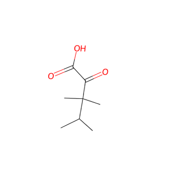 CC(C)C(C)(C)C(=O)C(=O)O